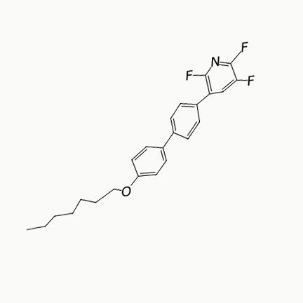 CCCCCCCOc1ccc(-c2ccc(-c3cc(F)c(F)nc3F)cc2)cc1